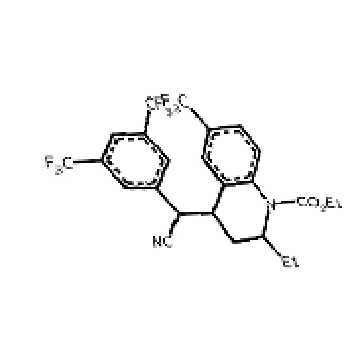 CCOC(=O)N1c2ccc(C(F)(F)F)cc2C(C(C#N)c2cc(C(F)(F)F)cc(C(F)(F)F)c2)CC1CC